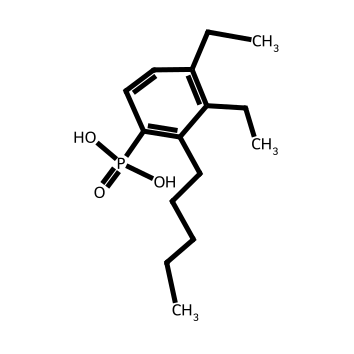 CCCCCc1c(P(=O)(O)O)ccc(CC)c1CC